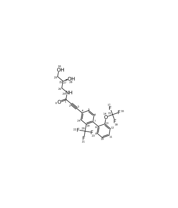 O=C(C#Cc1ccc(-c2ccccc2OC(F)(F)F)c(C(F)(F)F)c1)NC[C@H](O)CO